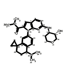 CN(C)C(=O)c1cc2cnc(N[C@@H]3CCOC[C@H]3O)nc2n1-c1ccc2c(c1)C1(CCC2N(C)C)CC1